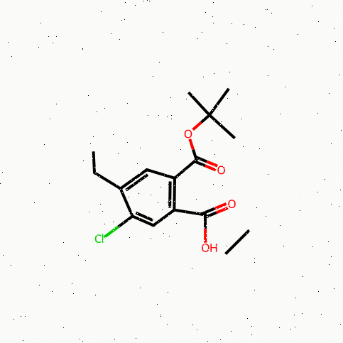 CC.CCc1cc(C(=O)OC(C)(C)C)c(C(=O)O)cc1Cl